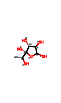 C[C@@H](O)[C@]1(O)OC(O)[C@H](O)[C@H]1O